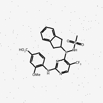 COc1cc(C(=O)O)ccc1Nc1ncc(C(F)(F)F)c(N(NS(C)(=O)=O)C2Cc3ccccc3C2)n1